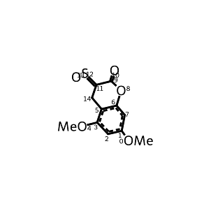 COc1cc(OC)c2c(c1)OC(=O)C(=S=O)C2